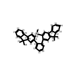 CN1c2cc3c(cc2-c2ccccc2-c2cc4c(cc21)-c1ccccc1C4(C)C)C(C)(C)c1ccccc1-3